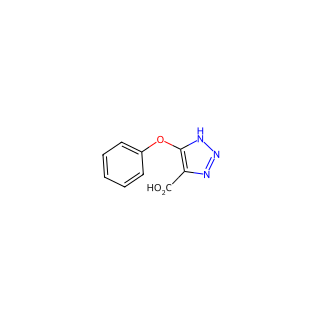 O=C(O)c1nn[nH]c1Oc1ccccc1